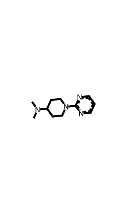 CN(C)C1CCN(c2ncccn2)CC1